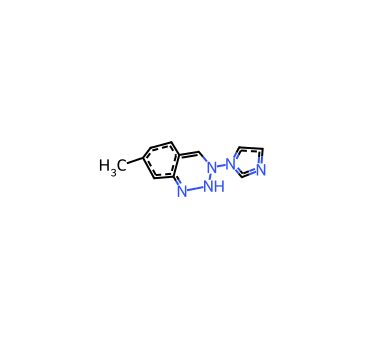 Cc1ccc2c(c1)=NNN(n1ccnc1)C=2